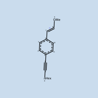 CCCCCCC#Cc1ccc(/C=C/OC)cc1